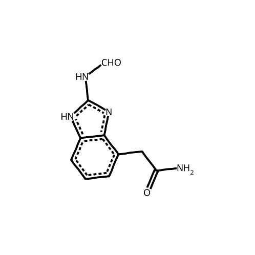 NC(=O)Cc1cccc2[nH]c(NC=O)nc12